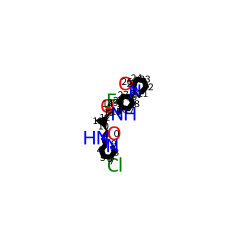 O=C(Nc1ccc(Cl)cn1)[C@H]1C[C@H]1C(=O)Nc1ccc(-n2ccccc2=O)cc1F